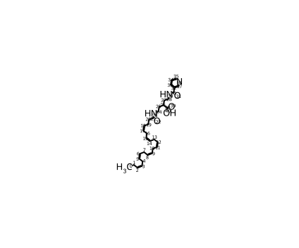 CC/C=C\C/C=C\C/C=C\C/C=C\C/C=C\C/C=C\CCC(=O)NCCC(CCNC(=O)c1cccnc1)C(=O)O